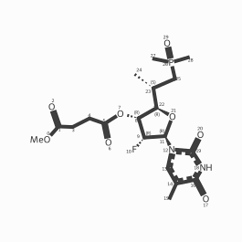 COC(=O)CCC(=O)O[C@H]1[C@@H](F)[C@H](n2cc(C)c(=O)[nH]c2=O)O[C@@H]1[C@H](C)CP(C)(C)=O